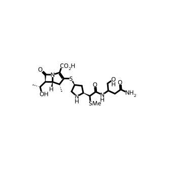 CSC(C(=O)NC(CO)CC(N)=O)[C@@H]1C[C@H](SC2=C(C(=O)O)N3C(=O)[C@H]([C@@H](C)O)[C@H]3[C@H]2C)CN1